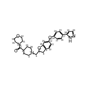 O=C(C1CCN(CC2Cc3ccc(Oc4ccc(-c5ccn[nH]5)cc4)cc3O2)CC1)N1CCOCC1